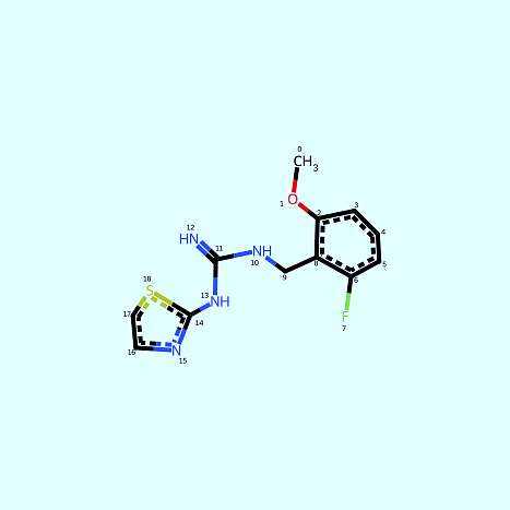 COc1cccc(F)c1CNC(=N)Nc1nccs1